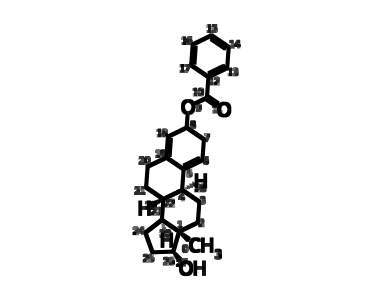 C[C@]12CC[C@@H]3C4=CCC(OC(=O)c5ccccc5)C=C4CC[C@H]3[C@@H]1CC[C@@H]2O